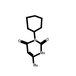 CCC(C)c1cc(=O)n(C2CCCCC2)c(=O)[nH]1